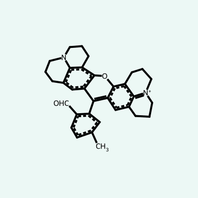 Cc1ccc(C=O)c(C2=c3cc4c5c(c3Oc3c2cc2c6c3CCCN6CCC2)CCC[N+]=5CCC4)c1